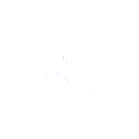 CC(=O)N1N=C2c3cc(Cl)ccc3OC[C@H]2[C@H]1c1ccccc1